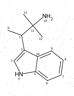 CC(c1c[nH]c2ccccc12)C(C)(C)N